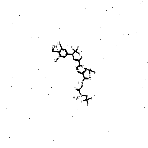 C=Cc1c(Cl)cc(C(/C=C(\F)c2ccc(C(=O)NCC(=O)N(C)CC(F)(F)F)c(C(F)(F)F)c2)C(F)(F)F)cc1Cl